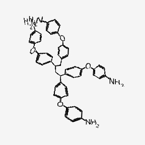 Nc1ccc(Oc2ccc(CC(CC(c3ccc(Oc4ccc(N)cc4)cc3)c3ccc(Oc4ccc(N)cc4)cc3)c3ccc(Oc4ccc(N)cc4)cc3)cc2)cc1